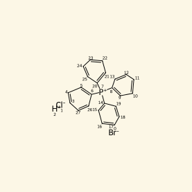 [Br-].[Cl-].[H+].c1ccc([P+](c2ccccc2)(c2ccccc2)c2ccccc2)cc1